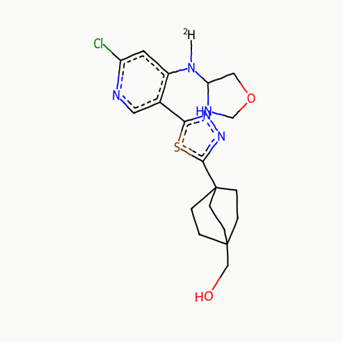 [2H]N(c1cc(Cl)ncc1-c1nnc(C23CCC(CO)(CC2)CC3)s1)C1COCN1